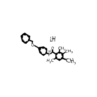 Cc1cc(C)c(C(=O)Pc2ccc(OCc3ccccc3)cc2)c(C)c1C.[LiH]